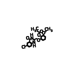 CCOc1cccc(OCC2NC(=O)c3cc(Cl)ccc3N2)c1OC(=O)CC